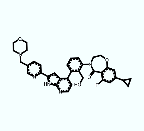 O=C1c2c(F)cc(C3CC3)cc2OCCN1c1cccc(-c2ccnc3[nH]c(-c4ccc(CN5CCOCC5)cn4)cc23)c1CO